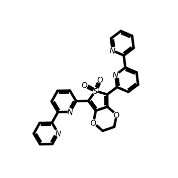 O=S1(=O)C(c2cccc(-c3ccccn3)n2)=C2OCCOC2=C1c1cccc(-c2ccccn2)n1